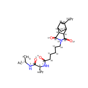 CC(=O)[C@H](C)NC(=O)[C@@H](NC(=O)CCCCCN1C(=O)C2C3C=C(C(C)C)C(C3)C2C1=O)C(C)C